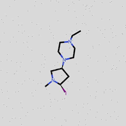 CCN1CCN([C@H]2C[C@@H](I)N(C)C2)CC1